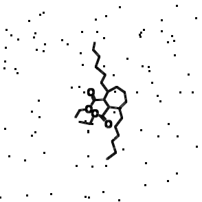 CCCCCCC1CCCC(CCCCCC)C(C(=O)OCC)C1C(=O)OCC